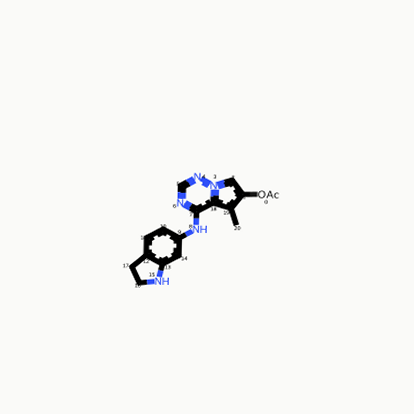 CC(=O)Oc1cn2ncnc(Nc3ccc4c(c3)NCC4)c2c1C